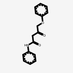 O=C(COc1ccccc1)CC(=O)Nc1ccccc1